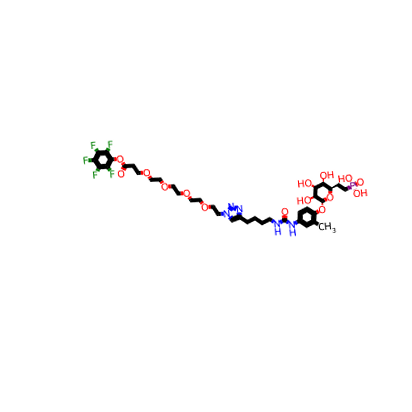 Cc1cc(NC(=O)NCCCCc2cn(CCOCCOCCOCCOCCC(=O)Oc3c(F)c(F)c(F)c(F)c3F)nn2)ccc1O[C@H]1O[C@H](CCP(=O)(O)O)[C@@H](O)[C@H](O)[C@@H]1O